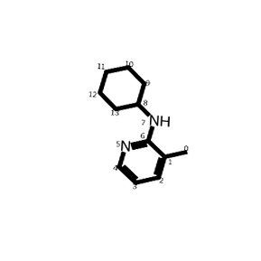 Cc1cccnc1NC1CCCCC1